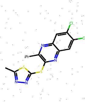 Cc1nnc(Sc2nc3cc(Cl)c(Cl)cc3nc2C(C)C)s1